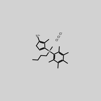 CCCC[Si](C)(C1=CC[C]([Ti+3])=C1C)c1c(C)c(C)c(C)c(C)c1C.[Cl-].[Cl-].[Cl-]